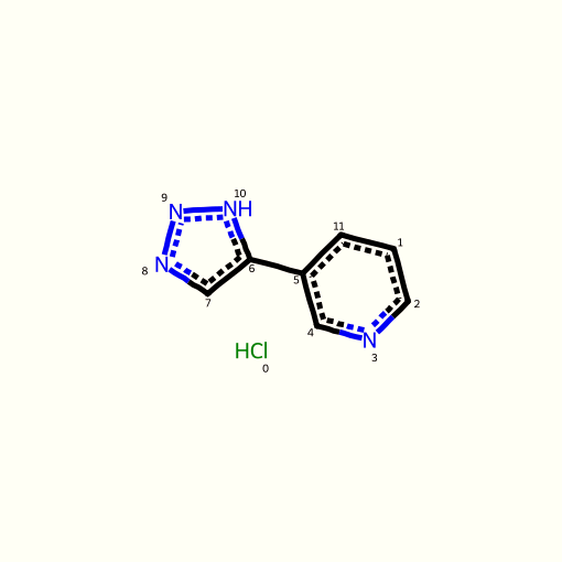 Cl.c1cncc(-c2cnn[nH]2)c1